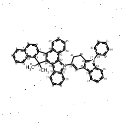 CC1(C)c2c(ccc3ccccc23)-c2c1c1c3ccccc3n(C3=Cc4c(n(-c5ccccc5)c5ccccc45)CC3)c1c1ccccc21